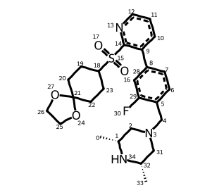 C[C@@H]1CN(Cc2ccc(-c3cccnc3S(=O)(=O)C3CCC4(CC3)OCCO4)cc2F)C[C@H](C)N1